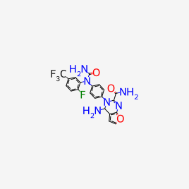 NC(=O)C1=Nc2occc2C(N)N1c1ccc(N(C(N)=O)c2cc(C(F)(F)F)ccc2F)cc1